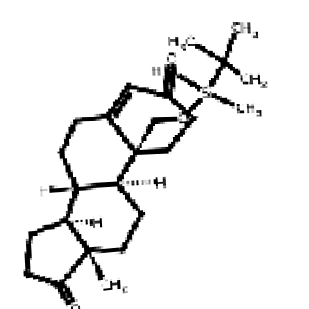 CC(C)(C)[Si](C)(C)OC[C@]12CCC(=O)C=C1CC[C@@H]1[C@@H]2CC[C@]2(C)C(=O)CC[C@@H]12